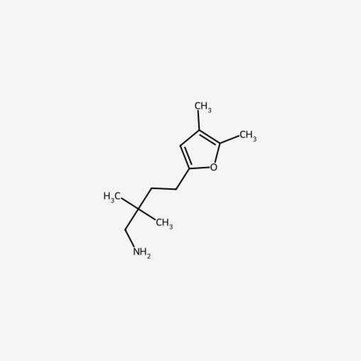 Cc1cc(CCC(C)(C)CN)oc1C